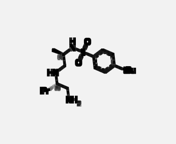 CC(C)[C@@H](CN)NC[C@@H](C)NS(=O)(=O)c1ccc(C(C)(C)C)cc1